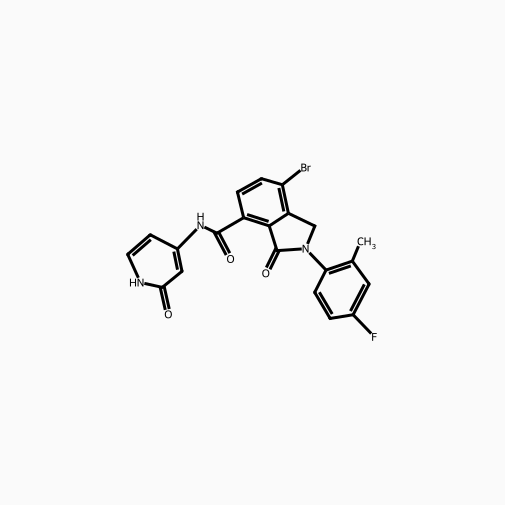 Cc1cc(F)ccc1N1Cc2c(Br)ccc(C(=O)Nc3cc[nH]c(=O)c3)c2C1=O